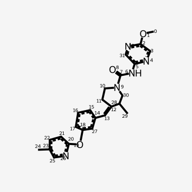 COc1cnc(NC(=O)N2CC/C(=C\c3cccc(Oc4ccc(C)cn4)c3)C(C)C2)cn1